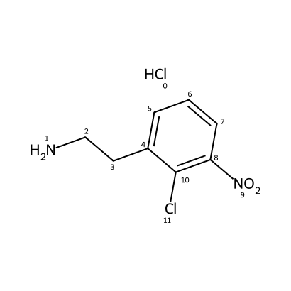 Cl.NCCc1cccc([N+](=O)[O-])c1Cl